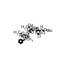 Cc1nnc(C(OC[C@H]2O[C@@H](n3cnc4c(NC(=O)OC(C)(C)C)nc(Cl)nc43)[C@@H]3OC(C)(C)O[C@@H]32)P(C)(=O)OCc2ccccc2)o1